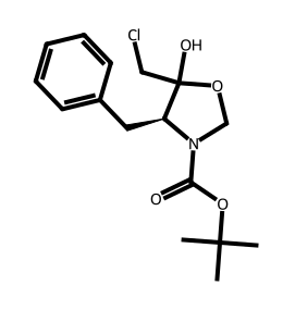 CC(C)(C)OC(=O)N1COC(O)(CCl)[C@@H]1Cc1ccccc1